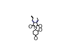 C=C/C=C1/C(=O)N(C2CCC(=O)CC2=O)C(=O)/C1=C/C